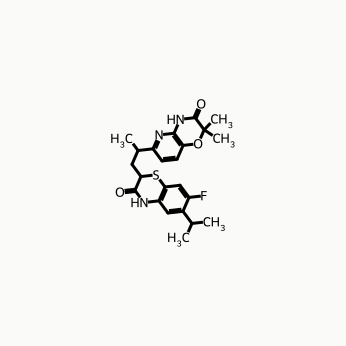 CC(C)c1cc2c(cc1F)SC(CC(C)c1ccc3c(n1)NC(=O)C(C)(C)O3)C(=O)N2